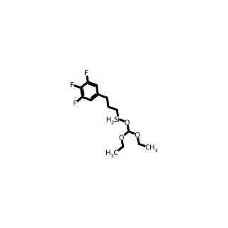 CCOC(OCC)O[SiH2]CCCc1cc(F)c(F)c(F)c1